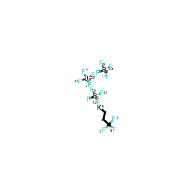 FC(F)(F)C[CH2][K].F[B-](F)(F)F.F[B-](F)(F)F.F[B-](F)(F)F